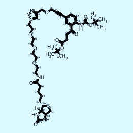 CC(C)(C)OC(=O)CCC(=O)c1cc(C#CCOCc2cn(CCOCCOCCOCCNC(=O)CCCC[C@@H]3SCC4NC(=O)N[C@@H]43)nn2)ccc1NC(=O)OC(C)(C)C